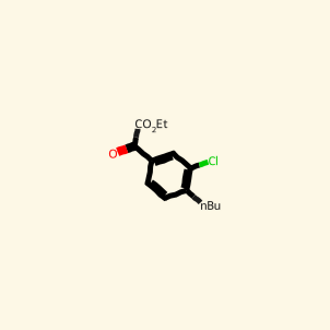 CCCCc1ccc(C(=O)C(=O)OCC)cc1Cl